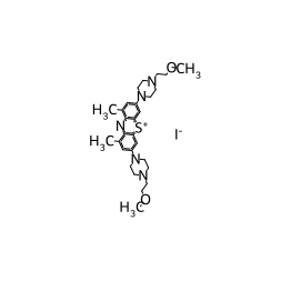 COCCN1CCN(c2cc(C)c3nc4c(C)cc(N5CCN(CCOC)CC5)cc4[s+]c3c2)CC1.[I-]